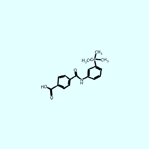 [CH3][Ge]([CH3])([CH3])[c]1cccc(NC(=O)c2ccc(C(=O)O)cc2)c1